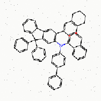 c1ccc(-c2ccc(N(c3cc4c(cc3-c3ccc5c(c3)CCCC5)-c3ccccc3C4(c3ccccc3)c3ccccc3)c3cccc4ccccc34)cc2)cc1